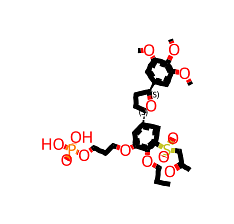 CCCOc1c(OCCCOP(=O)(O)O)cc([C@@H]2CC[C@@H](c3cc(OC)c(OC)c(OC)c3)O2)cc1S(=O)(=O)CC(C)=O